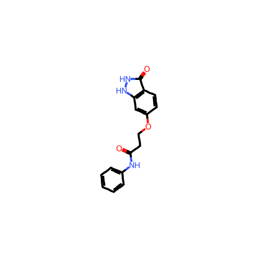 O=C(CCOc1ccc2c(=O)[nH][nH]c2c1)Nc1ccccc1